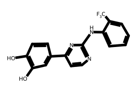 Oc1ccc(-c2ccnc(Nc3ccccc3C(F)(F)F)n2)cc1O